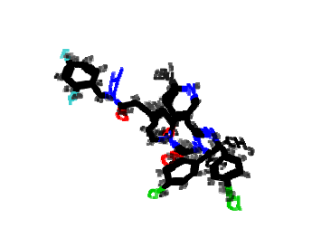 CCOc1cc(C(C)(C)C)ncc1C1=N[C@@](C)(c2ccc(Cl)cc2)[C@@](C)(c2ccc(Cl)cc2)N1C(=O)N1CCC(CC(=O)NCc2ccc(F)cc2F)CC1